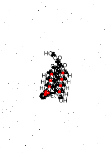 CCC(CC(C)(CC(C)(CC(C)(CC(C)(CC(C)(CC(C)(CC(C)(CC(C)(CC(C)(CC(C)(C)C(=O)OCC(C)(C)O)C(=O)OCC(C)(C)O)C(=O)OCC(C)(C)O)C(=O)OCC(C)(C)O)C(=O)OCC(C)(C)O)C(=O)OCC(C)(C)O)C(=O)OCC(C)(C)O)C(=O)OCC(C)(C)O)C(=O)OCC(C)(C)O)C(=O)OCC(C)(C)O)(c1ccc2ccccc2c1)C(F)(F)F